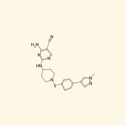 Cn1cc(-c2ccc(SN3CCC(Nc4ncc(C#N)c(N)n4)CC3)cc2)cn1